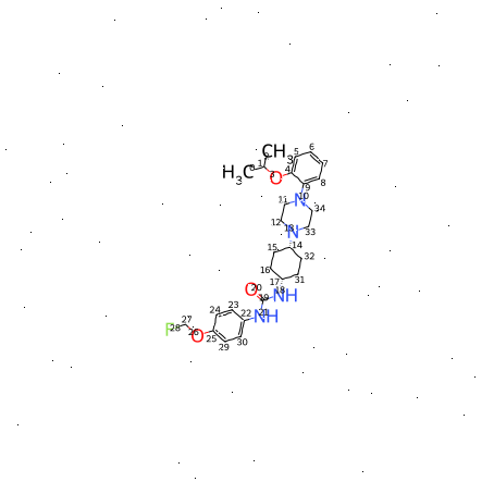 CC(C)Oc1ccccc1N1CCN([C@H]2CC[C@@H](NC(=O)Nc3ccc(OCF)cc3)CC2)CC1